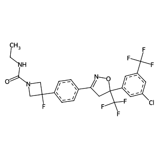 CCNC(=O)N1CC(F)(c2ccc(C3=NOC(c4cc(Cl)cc(C(F)(F)F)c4)(C(F)(F)F)C3)cc2)C1